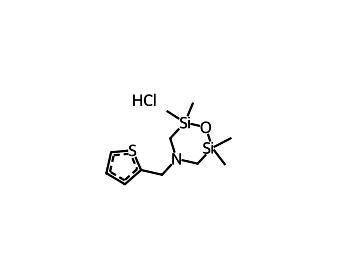 C[Si]1(C)CN(Cc2cccs2)C[Si](C)(C)O1.Cl